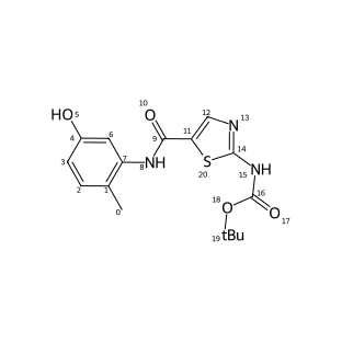 Cc1ccc(O)cc1NC(=O)c1cnc(NC(=O)OC(C)(C)C)s1